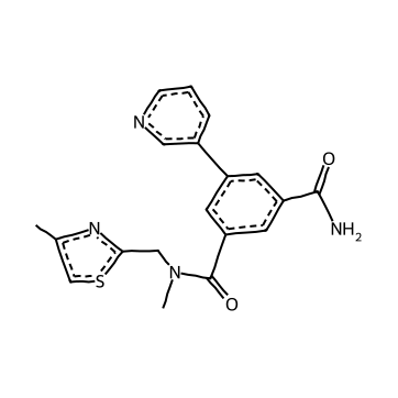 Cc1csc(CN(C)C(=O)c2cc(C(N)=O)cc(-c3cccnc3)c2)n1